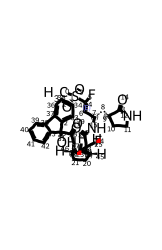 CS(=O)(=O)/C(F)=C/[C@H](C[C@H]1CCNC1=O)NC(=O)[C@H]1[C@@H]2CC[C@@H](CC2(F)F)N1C(=O)C1(O)c2ccccc2-c2ccccc21